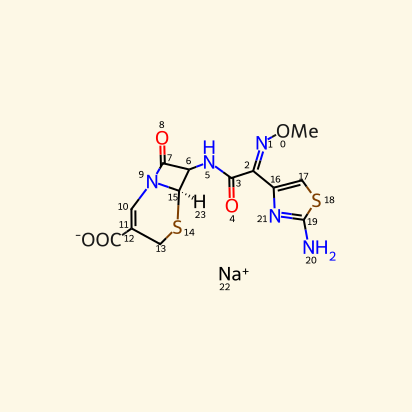 CON=C(C(=O)NC1C(=O)N2C=C(C(=O)[O-])CS[C@H]12)c1csc(N)n1.[Na+]